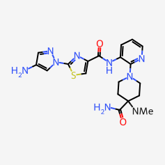 CNC1(C(N)=O)CCN(c2ncccc2NC(=O)c2csc(-n3cc(N)cn3)n2)CC1